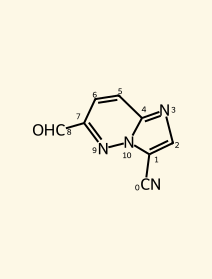 N#Cc1cnc2ccc(C=O)nn12